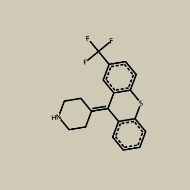 FC(F)(F)c1ccc2c(c1)C(=C1CCNCC1)c1ccccc1S2